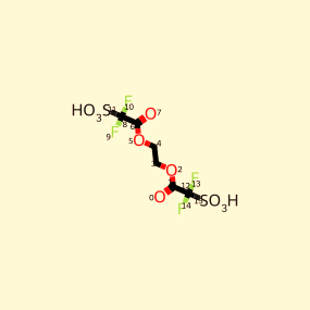 O=C(OCCOC(=O)C(F)(F)S(=O)(=O)O)C(F)(F)S(=O)(=O)O